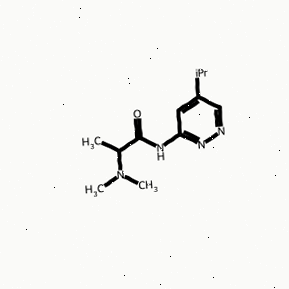 CC(C)c1cnnc(NC(=O)C(C)N(C)C)c1